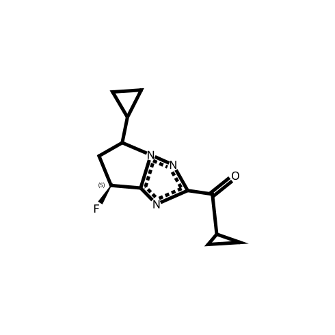 O=C(c1nc2n(n1)C(C1CC1)C[C@@H]2F)C1CC1